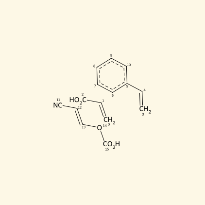 C=CC(=O)O.C=Cc1ccccc1.N#CC=COC(=O)O